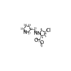 COC(=O)c1cc(Cl)cn1/N=C/c1cccnc1